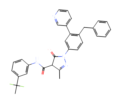 CC1=NN(c2ccc(Cc3ccccc3)c(-c3cccnc3)c2)C(=O)C1C(=O)Nc1cccc(C(C)(F)F)c1